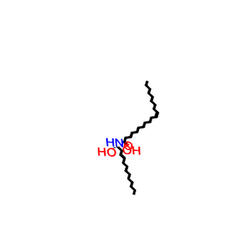 CCCCCCCC/C=C\CCCCCCCCCC(=O)N[C@@H](CO)[C@H](O)/C=C/CCCCCCCCC